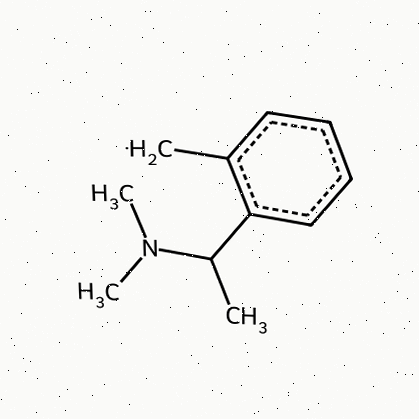 [CH2]c1ccccc1C(C)N(C)C